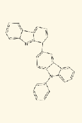 [c]1ccc2c(c1)c1cc(C3C=CC=C4C3=Nc3ccccc34)ccc1n2-c1ccccc1